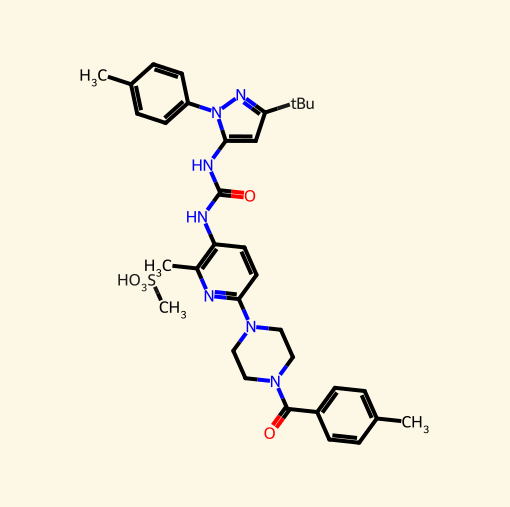 CS(=O)(=O)O.Cc1ccc(C(=O)N2CCN(c3ccc(NC(=O)Nc4cc(C(C)(C)C)nn4-c4ccc(C)cc4)c(C)n3)CC2)cc1